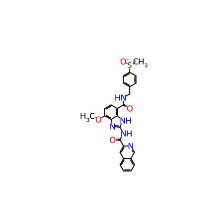 COc1ccc(C(=O)NCc2ccc([S+](C)[O-])cc2)c2[nH]c(NC(=O)c3cc4ccccc4cn3)nc12